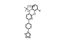 CC(C)(C(=O)O)[C@@H]1c2ccc(-c3ccc(-n4cnnn4)cc3)nc2Oc2c(F)cccc21